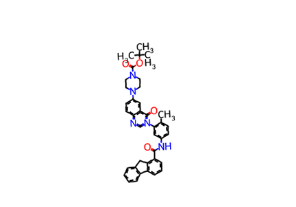 Cc1ccc(NC(=O)c2cccc3c2Cc2ccccc2-3)cc1-n1cnc2ccc(N3CCN(C(=O)OC(C)(C)C)CC3)cc2c1=O